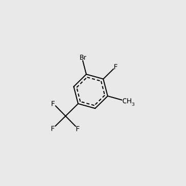 Cc1cc(C(F)(F)F)cc(Br)c1F